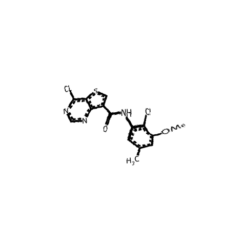 COc1cc(C)cc(NC(=O)c2csc3c(Cl)ncnc23)c1Cl